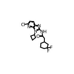 O=C(CC1CCCC(F)(F)C1)Nc1nc2ccc(Cl)nc2n1C1CCC1